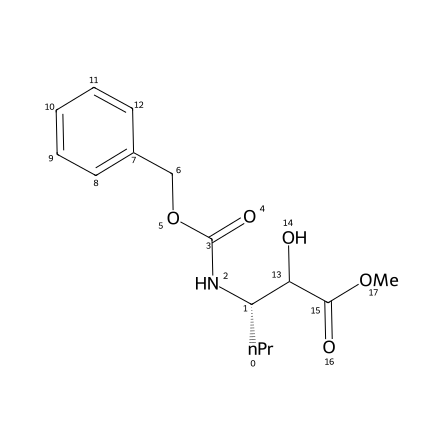 CCC[C@H](NC(=O)OCc1ccccc1)C(O)C(=O)OC